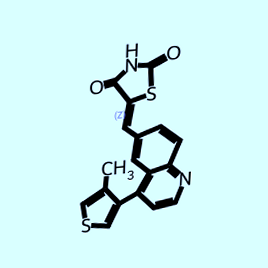 Cc1cscc1-c1ccnc2ccc(/C=C3\SC(=O)NC3=O)cc12